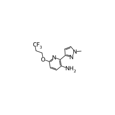 Cn1ccc(-c2nc(OCCC(F)(F)F)ccc2N)n1